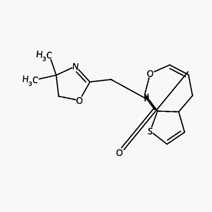 CC1(C)COC(CC2=C3OC=CCC4C=CSC34CC(=O)C2)=N1